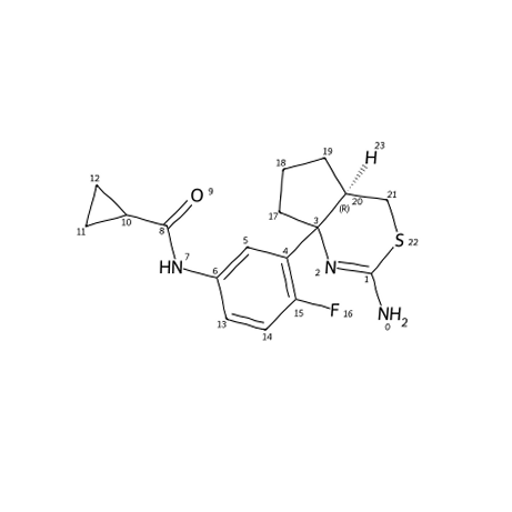 NC1=NC2(c3cc(NC(=O)C4CC4)ccc3F)CCC[C@H]2CS1